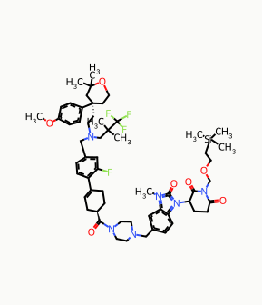 COc1ccc([C@]2(CCN(Cc3ccc(C4=CC[C@H](C(=O)N5CCN(Cc6ccc7c(c6)n(C)c(=O)n7C6CCC(=O)N(COCC[Si](C)(C)C)C6=O)CC5)CC4)c(F)c3)CC(C)(C)C(F)(F)F)CCOC(C)(C)C2)cc1